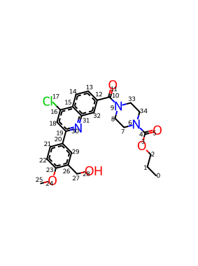 CCCOC(=O)N1CCN(C(=O)c2ccc3c(Cl)cc(-c4ccc(OC)c(CO)c4)nc3c2)CC1